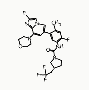 Cc1cc(F)c(NC(=O)N2CC[C@@H](CC(F)(F)F)C2)cc1-c1cc(N2CCOCC2)c2nc(F)cn2c1